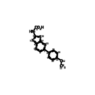 O=C(O)Nc1nc2ncc(-c3ccc(OC(F)(F)F)cc3)nc2s1